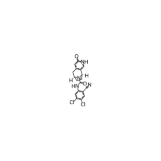 N#Cc1cc(Cl)c(Cl)cc1NC(=O)N1[C@H]2CC[C@@H]1c1c[nH]c(=O)cc1C2